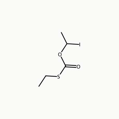 CCSC(=O)OC(C)I